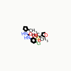 CC1=CCC[C@H]1NC(=O)Nc1ccc(Cl)c(S(=O)(=O)C(C)(C)[C@@H]2CCOC2)c1O